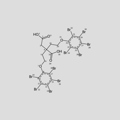 O=C(O)CC(CCOc1c(Br)c(Br)c(Br)c(Br)c1Br)(CCOc1c(Br)c(Br)c(Br)c(Br)c1Br)C(=O)O